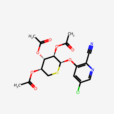 CC(=O)O[C@@H]1[C@@H](OC(C)=O)[C@@H](Oc2cc(Cl)cnc2C#N)SC[C@H]1OC(C)=O